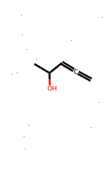 C=C=CC(C)O